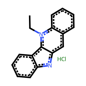 CCn1c2c3ccccc3nc-2cc2ccccc21.Cl